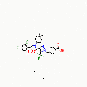 CC1(C)CCC(N(C[C@H](O)c2c(Cl)cc(F)cc2Cl)C(=O)c2cnn(CC3CCC(C(=O)O)CC3)c2C(F)(F)F)CC1